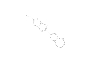 CSc1nn2cc(-c3cc4c(C)cc(C)cc4o3)nc2s1